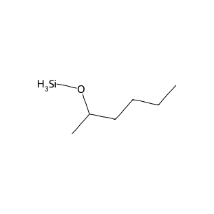 CCCCC(C)O[SiH3]